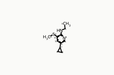 CCNc1ncc(C2CC2)cc1SC